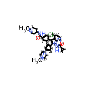 CN1CCC(NC(=O)c2ccc(-c3c(-c4ccc(N5CCN(C)CC5)cc4)n(NC(=O)C4CC4)c4nccc(Cl)c34)cc2)CC1